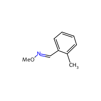 CON=Cc1ccccc1C